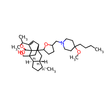 CCCCC1(OC)CCN(CC2CCC(C34C[C@@H]5[C@H](C)CC[C@H]5C5(C=O)CC3C=C(C(C)C)C45C(=O)O)O2)CC1